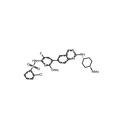 CN[C@H]1CC[C@H](Nc2ncc3cc(-c4cc(F)c(NS(=O)(=O)c5ccccc5Cl)nc4OC)ccc3n2)CC1